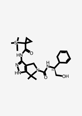 CC1(C)c2[nH]nc(NC(=O)C3([Si](C)(C)C)CC3)c2CN1C(=O)N[C@H](CO)C1C=CC=CC1